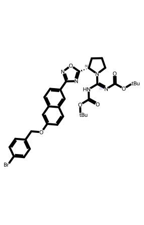 CC(C)(C)OC(=O)/N=C(/NC(=O)OC(C)(C)C)N1CCC[C@H]1c1nc(-c2ccc3cc(OCc4ccc(Br)cc4)ccc3c2)no1